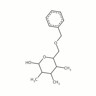 CC1C(O)OC(COCc2ccccc2)C(C)C1C